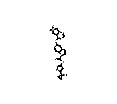 O=C(Nc1cc(C2(C(F)(F)F)CC2)on1)n1ccc2cc(Oc3ncnc4c3CS(=O)(=O)C4)ccc21